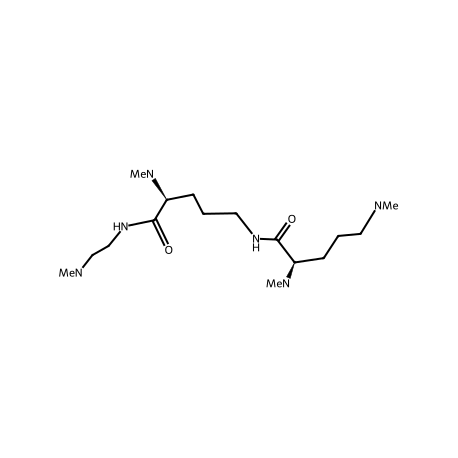 CNCCC[C@@H](NC)C(=O)NCCC[C@H](NC)C(=O)NCCNC